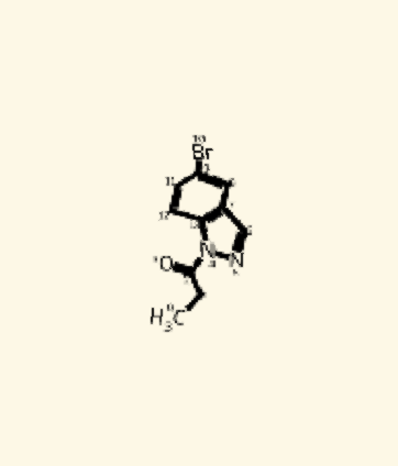 CCC(=O)n1ncc2cc(Br)ccc21